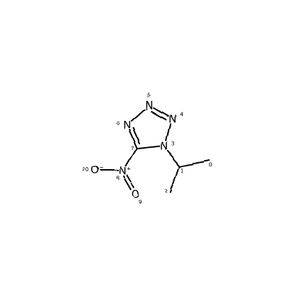 CC(C)n1nnnc1[N+](=O)[O-]